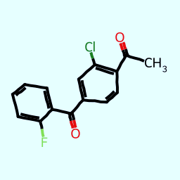 CC(=O)c1ccc(C(=O)c2ccccc2F)cc1Cl